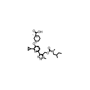 CCC(C)CN(C)C(=O)OCc1c(-c2ccc(O[C@H]3CCC[C@](C)(C(=O)O)C3)c(C3CC3)n2)nnn1C